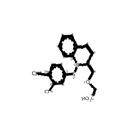 O=C(O)COCC1CCc2ccccc2N1Sc1ccc(Cl)c(Cl)c1